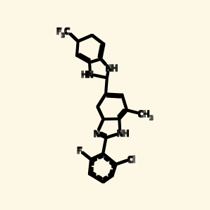 CC1=C2NC(c3c(F)cccc3Cl)=NC2CC(C2NC3=CCC(C(F)(F)F)C=C3N2)=C1